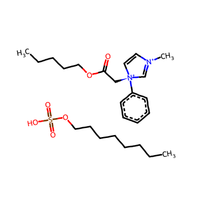 CCCCCCCCOS(=O)(=O)O.CCCCCOC(=O)C[N@@+]1(c2ccccc2)C=C[N+](C)=C1